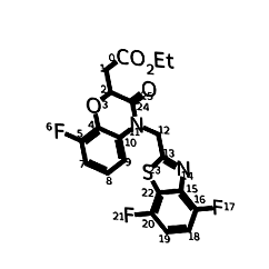 CCOC(=O)CC1Oc2c(F)cccc2N(Cc2nc3c(F)ccc(F)c3s2)C1=O